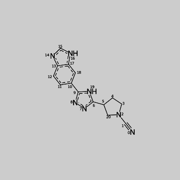 N#CN1CCC(c2nnc(-c3ccc4nc[nH]c4c3)[nH]2)C1